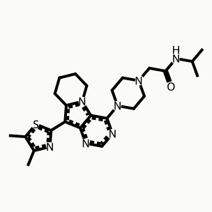 Cc1nc(-c2c3n(c4c(N5CCN(CC(=O)NC(C)C)CC5)ncnc24)CCCC3)sc1C